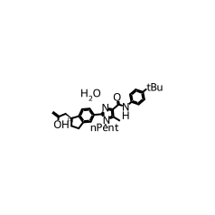 C=C(O)C[C@@H]1CCc2cc(-c3nc(C(=O)Nc4ccc(C(C)(C)C)cc4)c(C)n3CCCCC)ccc21.O